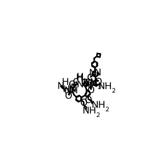 Cc1nc(-c2ccc(CC3CCC3)cc2)ncc1C(=O)NC(CCN)C(=O)N(C)C1C(=O)NC(C)C(=O)NC(C(=O)NCC#N)Cc2ccc(OCCN)c(c2)-c2cc1ccc2OCCN